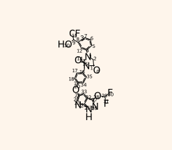 O=C1CN(c2cccc(C(O)C(F)(F)F)c2)C(=O)N1c1ccc(Oc2cnc3[nH]nc(OC(F)F)c3c2)cc1